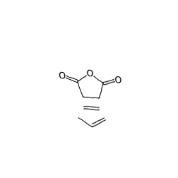 C=C.C=CC.O=C1CCC(=O)O1